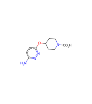 Nc1ccc(OC2CCN(C(=O)O)CC2)nn1